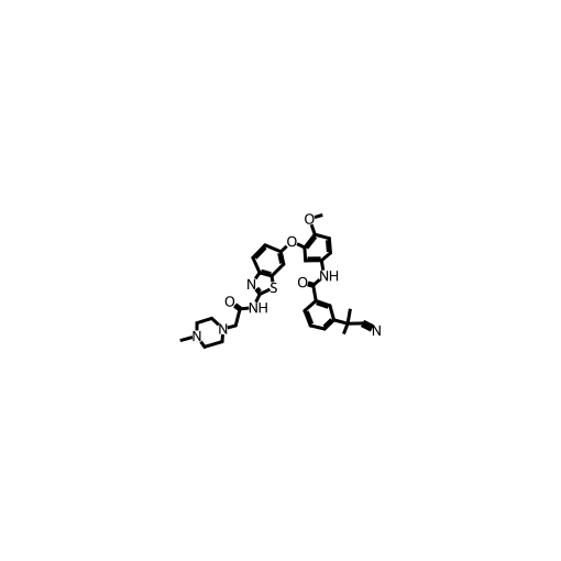 COc1ccc(NC(=O)c2cccc(C(C)(C)C#N)c2)cc1Oc1ccc2nc(NC(=O)CN3CCN(C)CC3)sc2c1